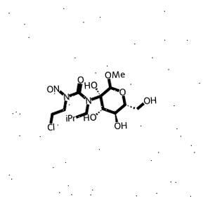 COC1O[C@H](CO)[C@@H](O)[C@H](O)[C@@]1(O)N(CC(C)C)C(=O)N(CCCl)N=O